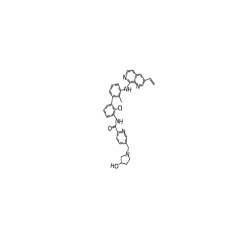 C=Cc1cnc2c(Nc3cccc(-c4cccc(NC(=O)c5ccc(CN6CCC(O)C6)cn5)c4Cl)c3C)nccc2c1